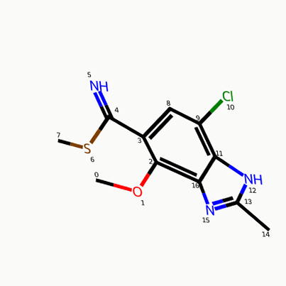 COc1c(C(=N)SC)cc(Cl)c2[nH]c(C)nc12